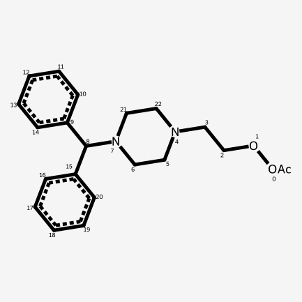 CC(=O)OOCCN1CCN(C(c2ccccc2)c2ccccc2)CC1